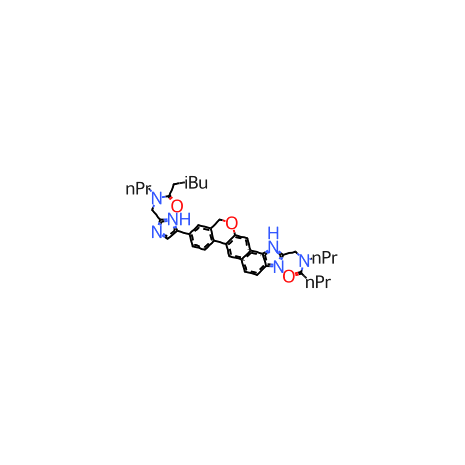 CCCC(=O)N(CCC)Cc1nc2ccc3cc4c(cc3c2[nH]1)OCc1cc(-c2cnc(CN(CCC)C(=O)CC(C)CC)[nH]2)ccc1-4